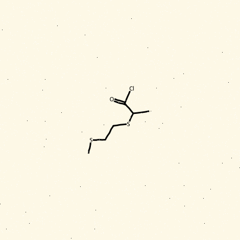 [CH2]C(SCCSC)C(=O)Cl